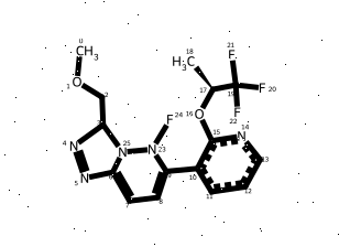 COCC1N=NC2=CC=C(c3cccnc3O[C@@H](C)C(F)(F)F)N(F)N21